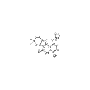 CC1(C)CCc2sc(-c3cc(O)ccc3CNN)c(C(=O)O)c2C1